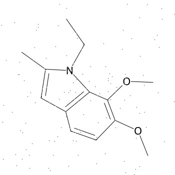 CCn1c(C)cc2ccc(OC)c(OC)c21